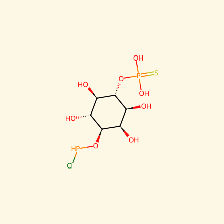 O[C@@H]1[C@@H](O)[C@H](OP(O)(O)=S)[C@@H](O)[C@@H](O)[C@H]1OPCl